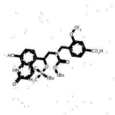 CC(C)(C)OC(=O)N(Cc1ccc(C(=O)O)cc1OC(F)(F)F)CC(O[Si](C)(C)C(C)(C)C)c1ccc(O)c2[nH]c(=O)ccc12